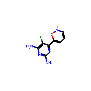 Nc1nc(N)c(F)c(C2=CC=CNO2)n1